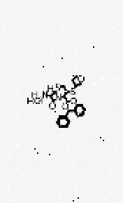 Cl.NC1C(=O)N2C(C(=O)OC(c3ccccc3)c3ccccc3)=C(SC3CCOC3)CS[C@@H]12